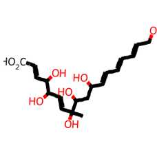 CC(O)(C=CC(O)C(O)C=CC(=O)O)C(O)CC(O)C=CC=CC=CCO